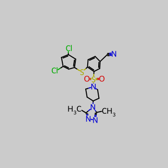 Cc1nnc(C)n1C1CCN(S(=O)(=O)c2cc(C#N)ccc2Sc2cc(Cl)cc(Cl)c2)CC1